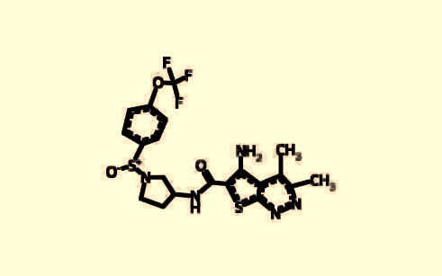 Cc1nnc2sc(C(=O)NC3CCN([S+]([O-])c4ccc(OC(F)(F)F)cc4)C3)c(N)c2c1C